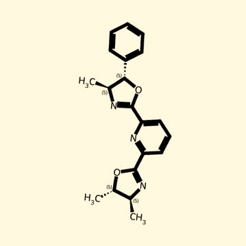 C[C@@H]1N=C(c2cccc(C3=N[C@@H](C)[C@H](c4ccccc4)O3)n2)O[C@H]1C